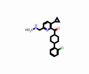 O=C(O)NCc1ccc(C2CC2)c(C(=O)C2CCC(c3ccccc3Cl)CC2)n1